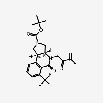 CNC(=O)CN1C(=O)c2c(cccc2C(F)(F)F)[C@H]2CN(C(=O)OC(C)(C)C)C[C@@H]21